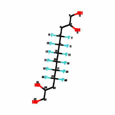 OCC(O)CC(F)(F)C(F)(F)C(F)(F)C(F)(F)C(F)(F)C(F)(F)CC(O)CO